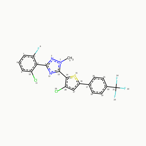 Cn1nc(-c2c(F)cccc2Cl)nc1-c1sc(-c2ccc(C(F)(F)F)cc2)cc1Cl